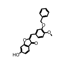 COc1ccc(C=C2Oc3cc(O)ccc3C2=O)cc1OCc1ccccc1